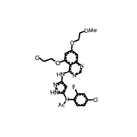 COCCOc1cc(OCCCl)c2c(Nc3cc(N(C(C)=O)c4ccc(Cl)cc4F)[nH]n3)ncnc2c1